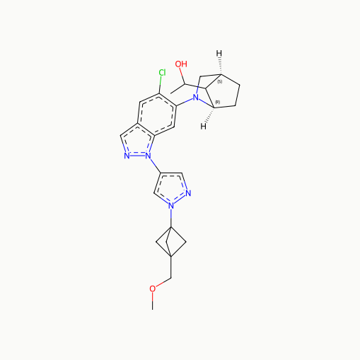 COCC12CC(n3cc(-n4ncc5cc(Cl)c(N6C[C@H]7CC[C@@H]6C7C(C)O)cc54)cn3)(C1)C2